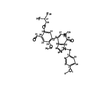 COc1ccc(Cn2ncc3c(-c4cc(OCC(F)F)c(C=O)cc4OC)cn(C)c(=O)c32)cc1